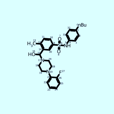 CCCCc1ccc(NS(=O)(=O)c2ccc(C)c(C(O)N3CCN(c4ccccc4F)CC3)c2)cc1